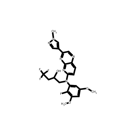 COc1cc(OC)c(F)c(N(CC(O)CC(F)(F)F)c2ccc3ncc(-c4cnn(C)c4)nc3n2)c1